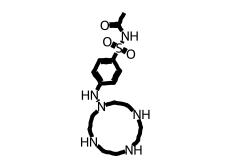 CC(=O)NS(=O)(=O)c1ccc(NN2CCNCCNCCNCC2)cc1